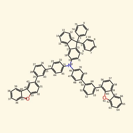 c1ccc(C2(c3ccccc3)c3ccccc3-c3cc(N(c4ccc(-c5cccc(-c6ccc7oc8ccccc8c7c6)c5)cc4)c4ccc(-c5cccc(-c6cccc7c6oc6ccccc67)c5)cc4)ccc32)cc1